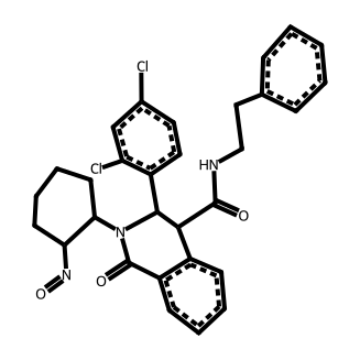 O=NC1CCCCC1N1C(=O)c2ccccc2C(C(=O)NCCc2ccccc2)C1c1ccc(Cl)cc1Cl